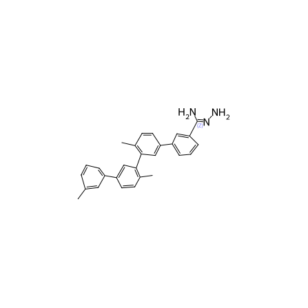 Cc1cccc(-c2ccc(C)c(-c3cc(-c4cccc(/C(N)=N/N)c4)ccc3C)c2)c1